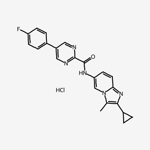 Cc1c(C2CC2)nc2ccc(NC(=O)c3ncc(-c4ccc(F)cc4)cn3)cn12.Cl